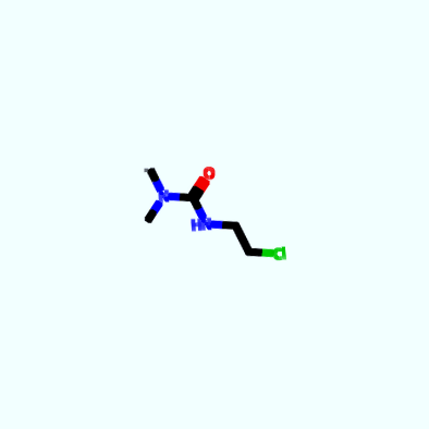 [CH2]N(C)C(=O)NCCCl